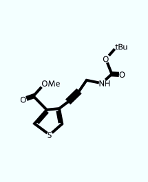 COC(=O)c1cscc1C#CCNC(=O)OC(C)(C)C